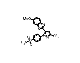 COc1ccc2nc(-c3cc(C(F)(F)F)nn3-c3ccc(S(N)(=O)=O)cc3)sc2c1